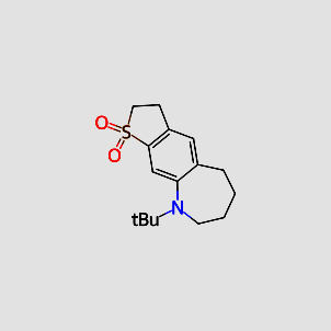 CC(C)(C)N1CCCCc2cc3c(cc21)S(=O)(=O)CC3